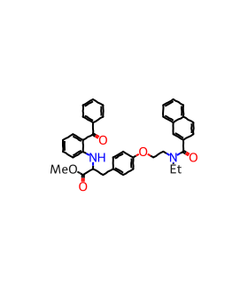 CCN(CCOc1ccc(CC(Nc2ccccc2C(=O)c2ccccc2)C(=O)OC)cc1)C(=O)c1ccc2ccccc2c1